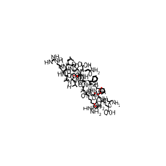 CC(C)C[C@H](NC(=O)[C@H](CCCNC(=N)N)NC(=O)[C@H](C)NC(=O)[C@@H](NC(=O)[C@H](C)NC(=O)[C@H](Cc1c[nH]c2ccccc12)NC(=O)[C@H](C)NC(=O)[C@H](CCCCN)NC(=O)[C@H](Cc1ccccc1)NC(=O)[C@H](C)NC(=O)[C@H](CCCNC(=N)N)NC(=O)[C@H](CCC(=O)O)NC(=O)CN)C(C)C)C(=O)N[C@@H](CO)C(=O)N[C@@H](CCC(N)=O)C(=O)O